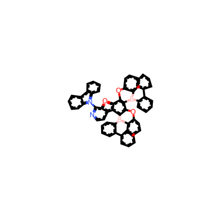 c1ccc(-c2ccccc2B2c3ccccc3Oc3c2c2c(c4c3oc3c(-n5c6ccccc6c6ccccc65)nccc34)B(c3ccccc3-c3ccccc3)c3ccccc3O2)cc1